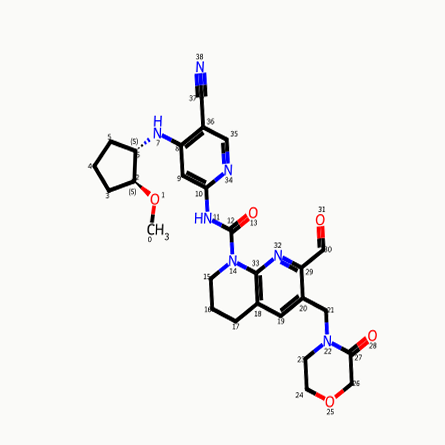 CO[C@H]1CCC[C@@H]1Nc1cc(NC(=O)N2CCCc3cc(CN4CCOCC4=O)c(C=O)nc32)ncc1C#N